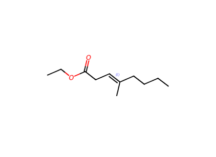 CCCC/C(C)=C/CC(=O)OCC